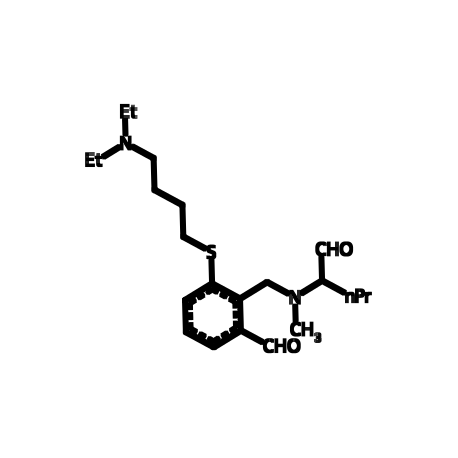 CCCC(C=O)N(C)Cc1c(C=O)cccc1SCCCCN(CC)CC